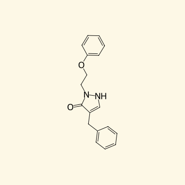 O=c1c(Cc2ccccc2)c[nH]n1CCOc1ccccc1